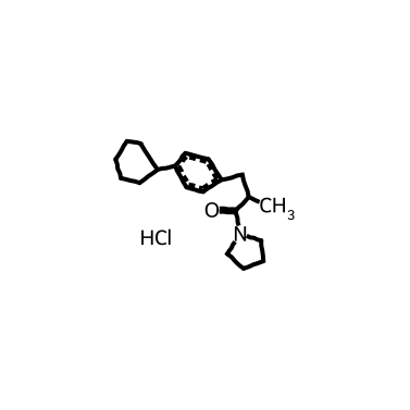 CC(Cc1ccc(C2CCCCC2)cc1)C(=O)N1CCCC1.Cl